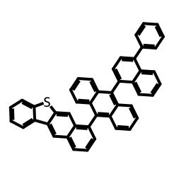 c1ccc(-c2ccc(-c3c4ccccc4c(-c4cccc5cc6c(cc45)sc4ccccc46)c4ccccc34)c3ccccc23)cc1